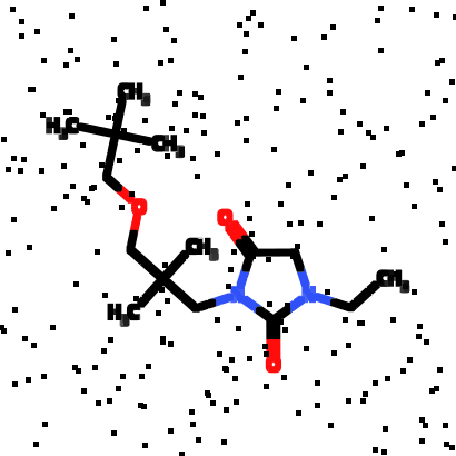 CCN1CC(=O)N(CC(C)(C)COCC(C)(C)C)C1=O